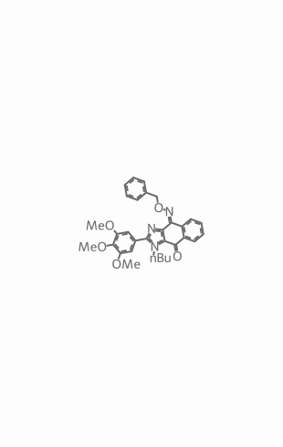 CCCCn1c(-c2cc(OC)c(OC)c(OC)c2)nc2c1C(=O)c1ccccc1/C2=N/OCc1ccccc1